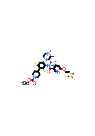 C[C@H]1CN(c2cc(F)c(C3=CCN(C(=O)OC(C)(C)C)CC3)c(F)c2NC(=O)c2cnc(OCCS(C)(C)C)cc2C(F)(F)F)CCN1C